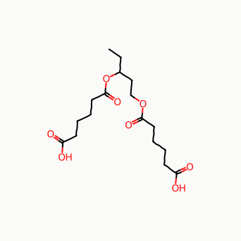 CCC(CCOC(=O)CCCCC(=O)O)OC(=O)CCCCC(=O)O